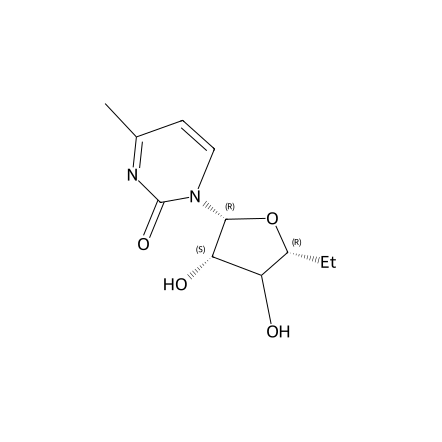 CC[C@H]1O[C@@H](n2ccc(C)nc2=O)[C@@H](O)C1O